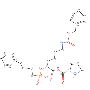 O=C(NCCCCC(OP(=O)(O)CCCCc1ccccc1)C(=O)OC(=O)[C@@H]1CCCN1)OCc1ccccc1